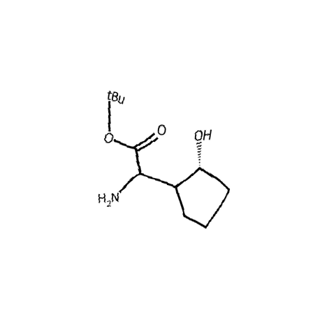 CC(C)(C)OC(=O)C(N)C1CCC[C@H]1O